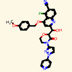 COc1ccc(COc2cc(C(O)C3OCCN(c4ccn(-c5ccncc5)n4)C3=O)nc3ccc(C#N)c(F)c23)cc1